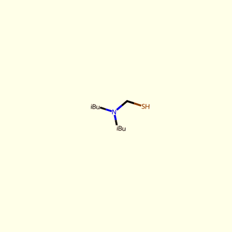 CCC(C)N(CS)C(C)CC